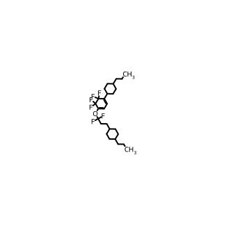 CCCC1CCC(CCC(F)(F)OC2=CC=C(C3CCC(CCC)CC3)C(F)(F)C2(F)F)CC1